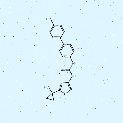 CC1(c2cc(NC(=O)Nc3ccc(-c4ccc(N)nc4)cc3)no2)CC1